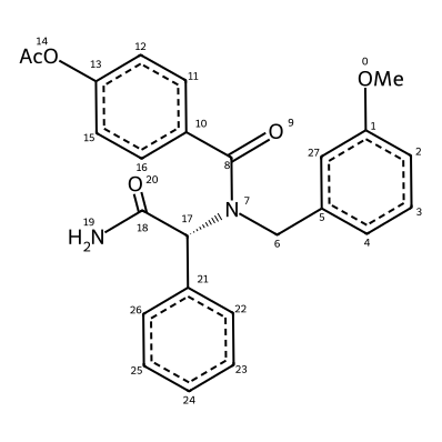 COc1cccc(CN(C(=O)c2ccc(OC(C)=O)cc2)[C@@H](C(N)=O)c2ccccc2)c1